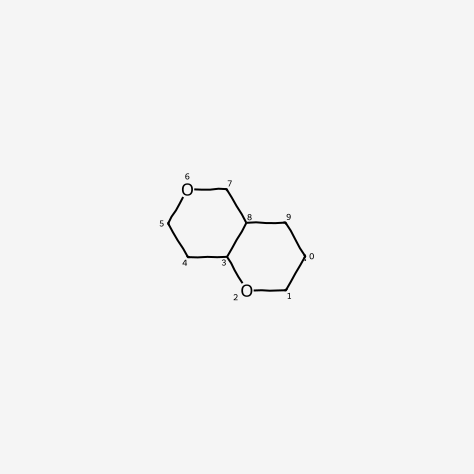 [CH]1COC2CCOCC2C1